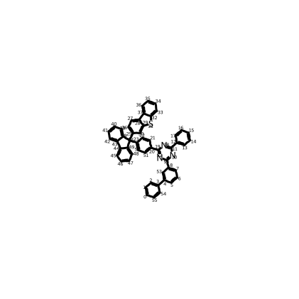 c1ccc(-c2cccc(-c3nc(-c4ccccc4)nc(-c4ccc(C5(c6ccc7c(c6)sc6ccccc67)c6ccccc6-c6ccccc65)cc4)n3)c2)cc1